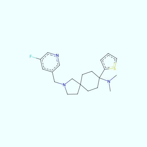 CN(C)C1(c2cccs2)CCC2(CCN(Cc3cncc(F)c3)C2)CC1